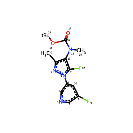 Cc1nn(-c2cncc(F)c2)c(F)c1N(C)C(=O)OC(C)(C)C